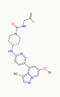 C=C(C)CNC(=O)N1CCC(Nc2ccc(-c3cc(OCC)cn4ncc(C#N)c34)cn2)CC1